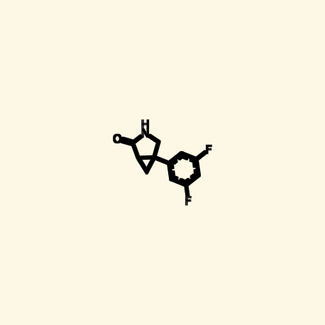 O=C1NCC2(c3cc(F)cc(F)c3)CC12